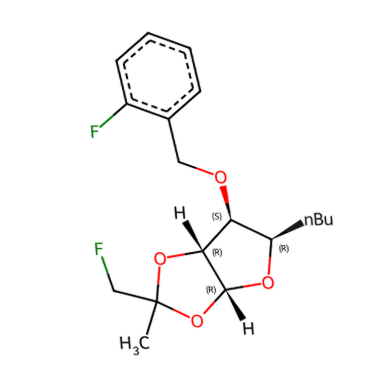 CCCC[C@H]1O[C@@H]2OC(C)(CF)O[C@@H]2[C@H]1OCc1ccccc1F